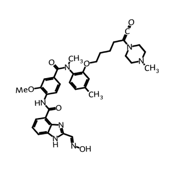 COc1cc(C(=O)N(C)c2ccc(C)cc2OCCCCC(=C=O)N2CCN(C)CC2)ccc1NC(=O)c1cccc2[nH]c(C=NO)nc12